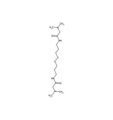 CN(C)CC(=O)NCCCSSCCCNC(=O)CN(C)C